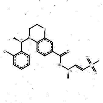 C[C@H](/C=C/S(C)(=O)=O)NC(=O)c1ccc2c(c1)OCCN2[C@H](C)c1ccccc1Cl